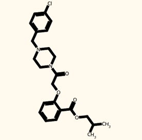 CC(C)COC(=O)c1ccccc1OCC(=O)N1CCN(Cc2ccc(Cl)cc2)CC1